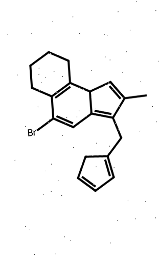 CC1=CC2C(=C1CC1=CC=CC1)C=C(Br)C1=C2CCCC1